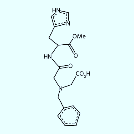 COC(=O)C(Cc1c[nH]cn1)NC(=O)CN(CC(=O)O)Cc1ccccc1